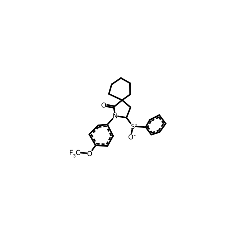 O=C1N(c2ccc(OC(F)(F)F)cc2)C([S+]([O-])c2ccccc2)CC12CCCCC2